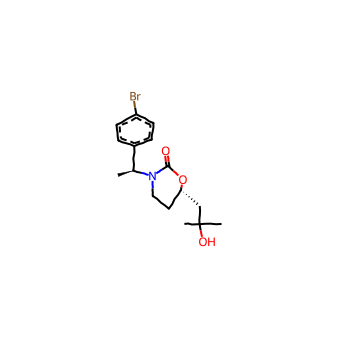 C[C@@H](c1ccc(Br)cc1)N1CC[C@@H](CC(C)(C)O)OC1=O